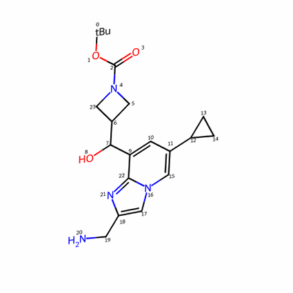 CC(C)(C)OC(=O)N1CC(C(O)c2cc(C3CC3)cn3cc(CN)nc23)C1